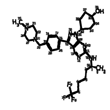 C[C@@H](CCCCC(F)(F)F)Nc1ncc2c(-c3ccc(CN4CCN(C)CC4)cc3)nn([C@H]3CC[C@H](O)CC3)c2n1